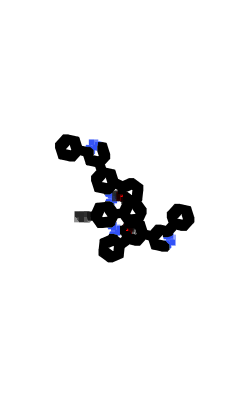 N#Cc1cc(-n2c3ccccc3c3cc(-c4ccnc(-c5ccccc5)c4)ccc32)c(-c2c(C#N)cccc2C(F)(F)F)c(-n2c3ccccc3c3cc(-c4ccnc(-c5ccccc5)c4)ccc32)c1